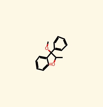 COC(c1ccccc1)(c1ccccc1)C(C)O